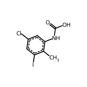 Cc1c(I)cc(Cl)cc1NC(=O)O